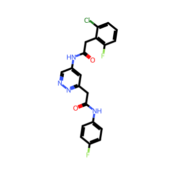 O=C(Cc1cc(NC(=O)Cc2c(F)cccc2Cl)cnn1)Nc1ccc(F)cc1